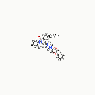 COc1ccc(C(=O)N2c3ccccc3CCC2CN2CCN(C3=COC(C4=CC=CCC4)=CO3)CC2)cc1